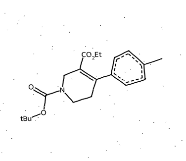 CCOC(=O)C1=C(c2ccc(C)cc2)CCN(C(=O)OC(C)(C)C)C1